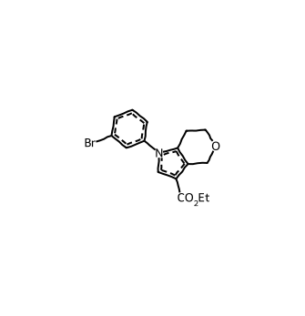 CCOC(=O)c1cn(-c2cccc(Br)c2)c2c1COCC2